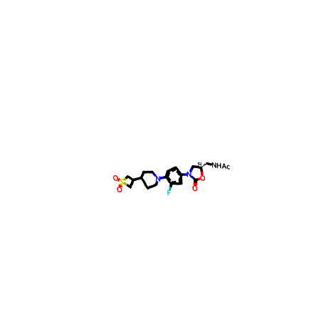 CC(=O)NC[C@H]1CN(c2ccc(N3CCC(C4CS(=O)(=O)C4)CC3)c(F)c2)C(=O)O1